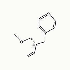 C=C[C@H](COC)Cc1ccccc1